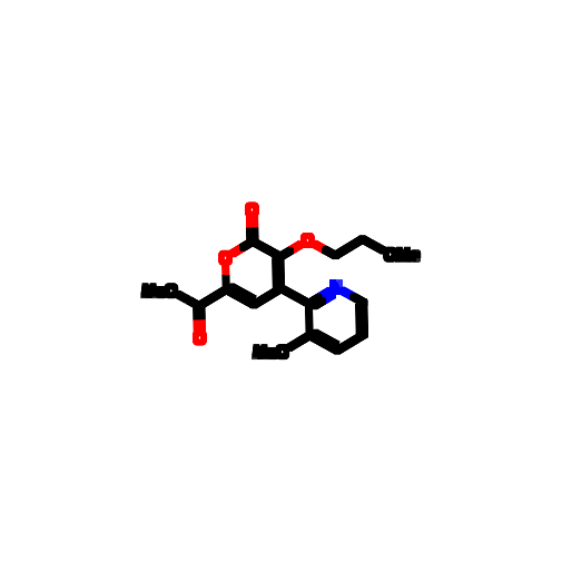 COCCOc1c(-c2ncccc2OC)cc(C(=O)OC)oc1=O